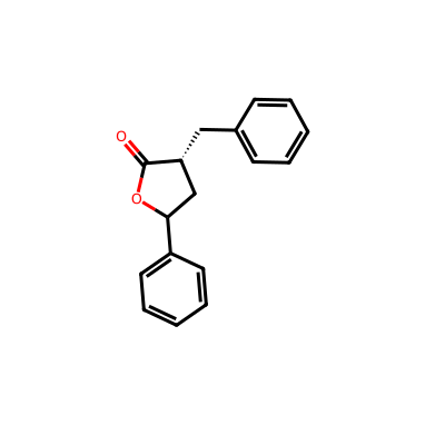 O=C1OC(c2ccccc2)C[C@H]1Cc1ccccc1